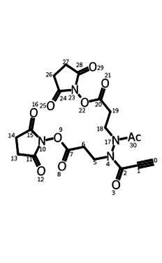 C#CC(=O)N(CCC(=O)ON1C(=O)CCC1=O)N(CCC(=O)ON1C(=O)CCC1=O)C(C)=O